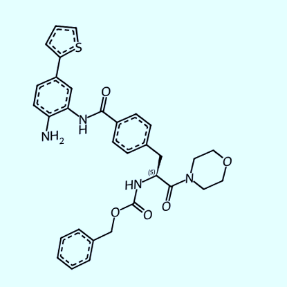 Nc1ccc(-c2cccs2)cc1NC(=O)c1ccc(C[C@H](NC(=O)OCc2ccccc2)C(=O)N2CCOCC2)cc1